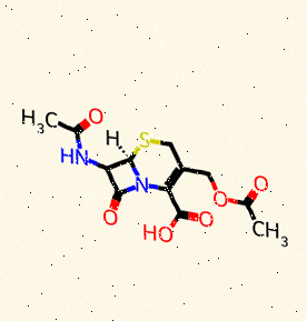 CC(=O)NC1C(=O)N2C(C(=O)O)=C(COC(C)=O)CS[C@H]12